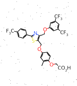 Cc1cc(OCc2sc(-c3ccc(C(F)(F)F)cc3)nc2COc2cc(C(F)(F)F)cc(C(F)(F)F)c2)ccc1OCC(=O)O